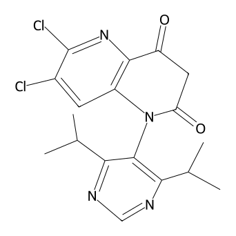 CC(C)c1ncnc(C(C)C)c1N1C(=O)CC(=O)c2nc(Cl)c(Cl)cc21